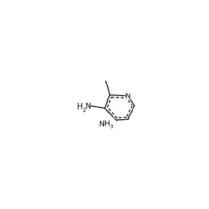 Cc1ncccc1N.N